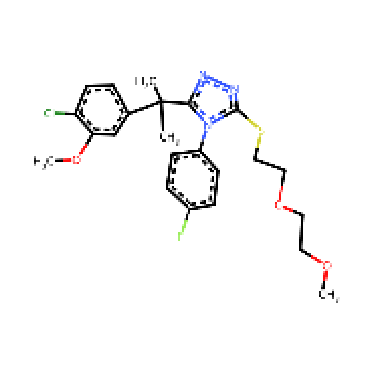 COCCOCCSc1nnc(C(C)(C)c2ccc(Cl)c(OC)c2)n1-c1ccc(F)cc1